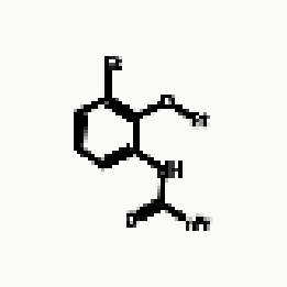 CCCC(=O)Nc1cccc(CC)c1OCC